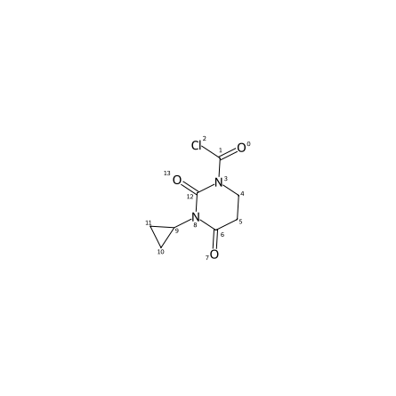 O=C(Cl)N1CCC(=O)N(C2CC2)C1=O